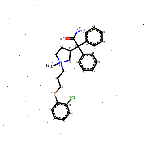 C[N+]1(CCCSc2ccccc2Cl)CCC(C(C(N)=O)(c2ccccc2)c2ccccc2)C1